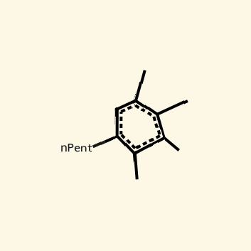 [CH2]CCCCc1cc(C)c(C)c(C)c1C